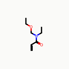 C=CC(=O)N(CC)COCC